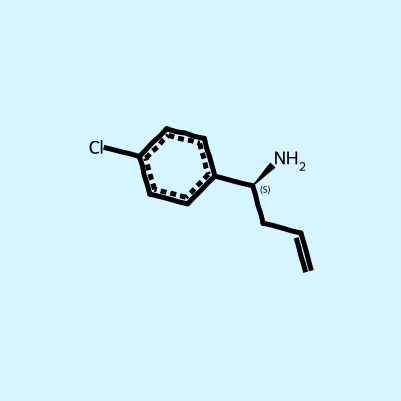 C=CC[C@H](N)c1ccc(Cl)cc1